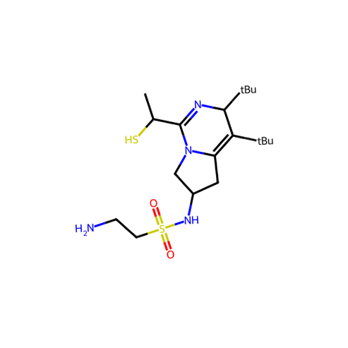 CC(S)C1=NC(C(C)(C)C)C(C(C)(C)C)=C2CC(NS(=O)(=O)CCN)CN12